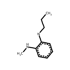 CCC[N]c1ccccc1NC